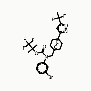 CC(F)(F)c1cc(C23CCC(CN(C(=O)OC(C)(C)C(F)(F)F)c4cccc(Br)c4)(CC2)CC3)no1